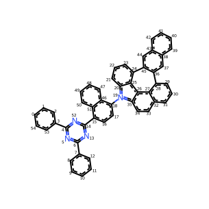 c1ccc(-c2nc(-c3ccccc3)nc(-c3ccc(-n4c5cccc6c5c5c7c(cccc7ccc54)-c4cc5ccccc5cc4-6)c4ccccc34)n2)cc1